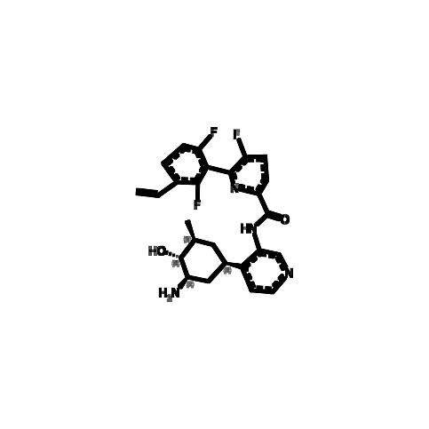 C=Cc1ccc(F)c(-c2nc(C(=O)Nc3cnccc3[C@H]3C[C@@H](N)[C@H](O)[C@@H](C)C3)ccc2F)c1F